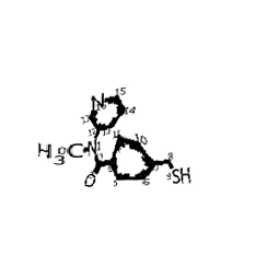 CN(C(=O)c1ccc(CS)cc1)c1cccnc1